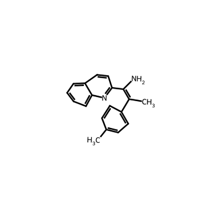 CC(=C(N)c1ccc2ccccc2n1)c1ccc(C)cc1